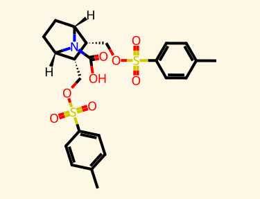 Cc1ccc(S(=O)(=O)OC[C@@H]2[C@H](COS(=O)(=O)c3ccc(C)cc3)[C@@H]3CC[C@H]2N3C(=O)O)cc1